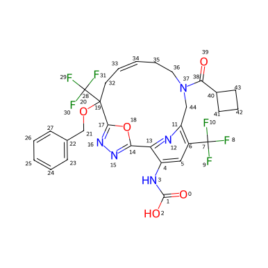 O=C(O)Nc1cc(C(F)(F)F)c2nc1-c1nnc(o1)C(OCc1ccccc1)(C(F)(F)F)CC=CCCN(C(=O)C1CCC1)C2